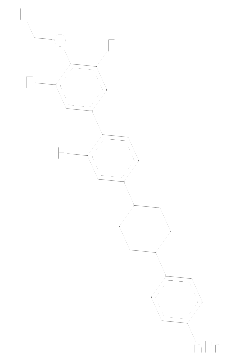 CCCc1ccc(C2CCC(c3ccc(-c4cc(F)c(OCF)c(F)c4)c(F)c3)CC2)cc1